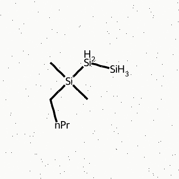 CCCC[Si](C)(C)[SiH2][SiH3]